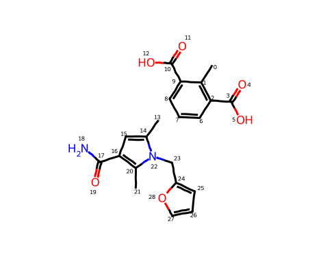 Cc1c(C(=O)O)cccc1C(=O)O.Cc1cc(C(N)=O)c(C)n1Cc1ccco1